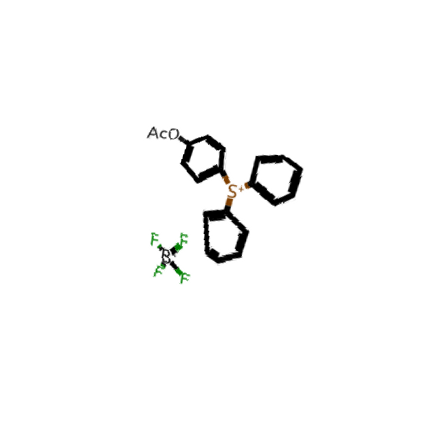 CC(=O)Oc1ccc([S+](c2ccccc2)c2ccccc2)cc1.F[B-](F)(F)F